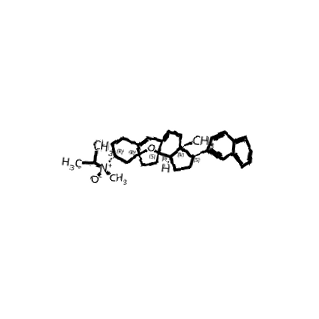 CC(C)[N+](C)([O-])[C@@H]1CCC2=CC3=CC[C@]4(C)[C@@H](c5ccc6ccccc6c5)CC[C@H]4[C@@]34CC[C@]2(C1)O4